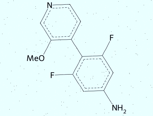 COc1cnccc1-c1c(F)cc(N)cc1F